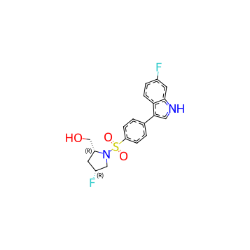 O=S(=O)(c1ccc(-c2c[nH]c3cc(F)ccc23)cc1)N1C[C@H](F)C[C@@H]1CO